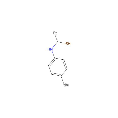 CCC(S)Nc1ccc(C(C)(C)C)cc1